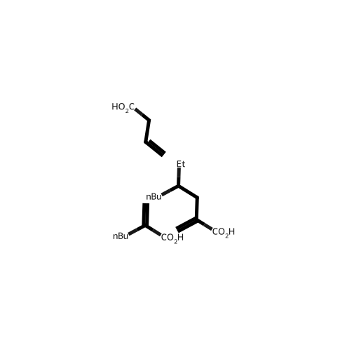 C=C(CC(CC)CCCC)C(=O)O.C=C(CCCC)C(=O)O.C=CCC(=O)O